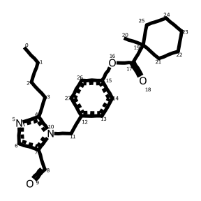 CCCCc1ncc(C=O)n1Cc1ccc(OC(=O)C2(C)CCCCC2)cc1